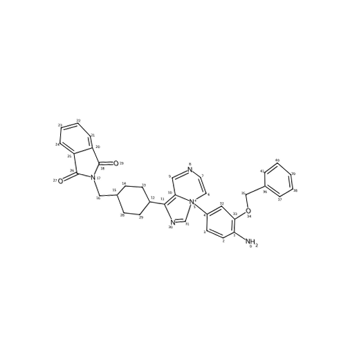 Nc1ccc([N+]23C=CN=CC2=C(C2CCC(CN4C(=O)c5ccccc5C4=O)CC2)N=C3)cc1OCc1ccccc1